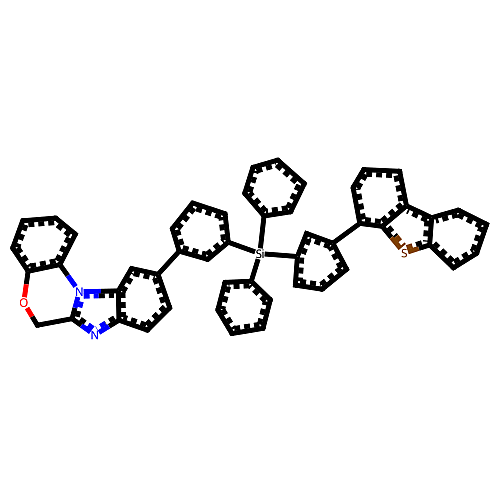 c1ccc([Si](c2ccccc2)(c2cccc(-c3ccc4nc5n(c4c3)-c3ccccc3OC5)c2)c2cccc(-c3cccc4c3sc3ccccc34)c2)cc1